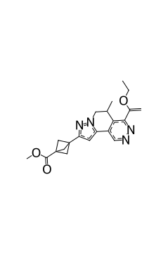 C=C(OCC)c1nncc2c1C(C)Cn1nc(C34CC(C(=O)OC)(C3)C4)cc1-2